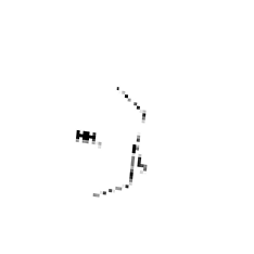 CC[PH3]CC.N